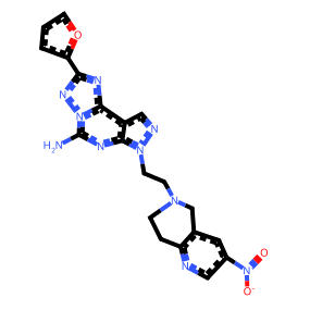 Nc1nc2c(cnn2CCN2CCc3ncc([N+](=O)[O-])cc3C2)c2nc(-c3ccco3)nn12